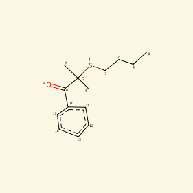 CCCCSC(C)(C)C(=O)c1ccccc1